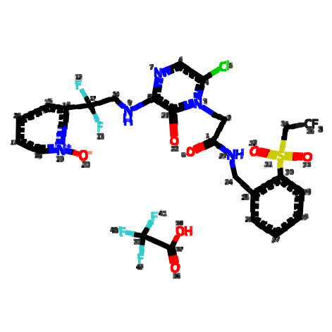 O=C(Cn1c(Cl)cnc(NCC(F)(F)c2cccc[n+]2[O-])c1=O)NCc1ccccc1S(=O)(=O)CC(F)(F)F.O=C(O)C(F)(F)F